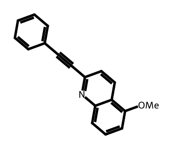 COc1cccc2nc(C#Cc3ccccc3)ccc12